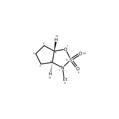 CCN1[C@H]2CCC[C@@H]2OS1(=O)=O